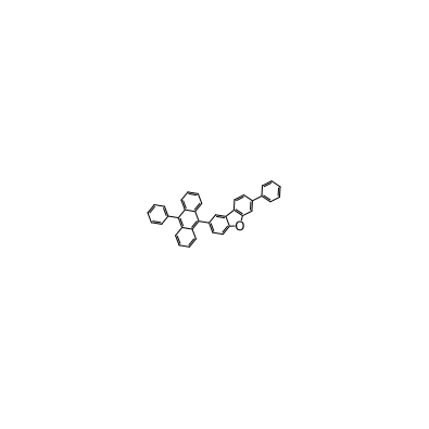 c1ccc(-c2ccc3c(c2)oc2ccc(-c4c5ccccc5c(-c5ccccc5)c5ccccc45)cc23)cc1